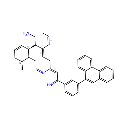 C=N/C(=C\C(=N)c1cccc(-c2cc3ccccc3c3ccccc23)c1)C/C=C(\C=C/C)C(CN)[C@@H]1C=CC[C@H](C)C1C